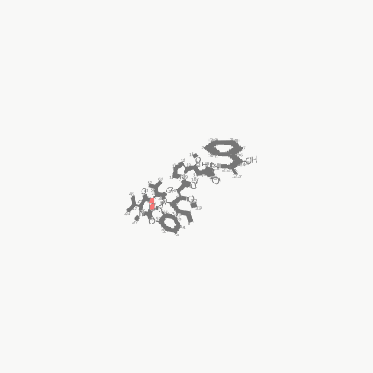 CC[C@H](C)[C@@H]([C@@H](CC(=O)N1CCC[C@H]1[C@H](OC)[C@@H](C)C(=O)N[C@H](C)[C@@H](O)c1ccccc1)OC)N(C)C(=O)[C@@H](NC(=O)[C@H](C(C)C)N(C)C(=O)O[C@H]1CCCC[C@@H]1SSI)C(C)C